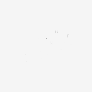 FC(F)(F)c1ncn(-c2cccc(C3CC3)c2C2CC2)n1